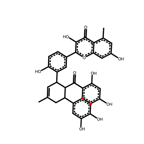 CC1=CC(c2cc(-c3oc4cc(O)cc(C)c4c(=O)c3O)ccc2O)C(C(=O)c2ccc(O)cc2O)C(c2ccc(O)c(O)c2)C1